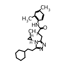 Cc1ccc(NC(=O)CCc2nnc(CCC3CCCCC3)n2[C@@H]2C[C@H]2C)c(C)c1